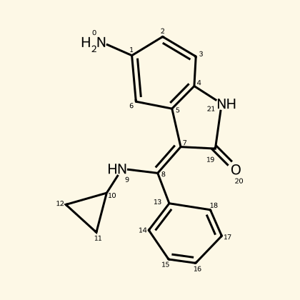 Nc1ccc2c(c1)C(=C(NC1CC1)c1ccccc1)C(=O)N2